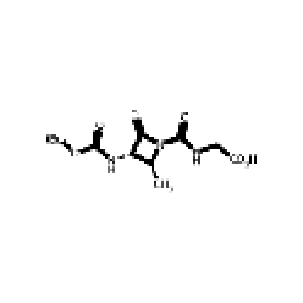 C[C@H]1[C@H](NC(=O)OC(C)(C)C)C(=O)N1C(=O)NCC(=O)O